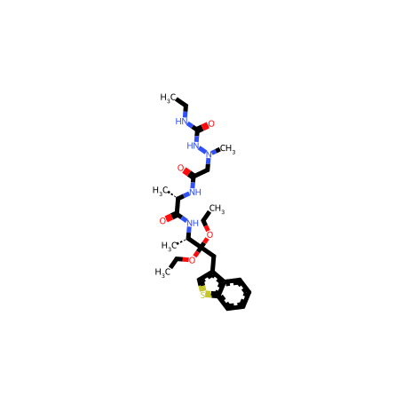 CCNC(=O)NN(C)CC(=O)N[C@@H](C)C(=O)N[C@@H](C)C(Cc1csc2ccccc12)(OCC)OCC